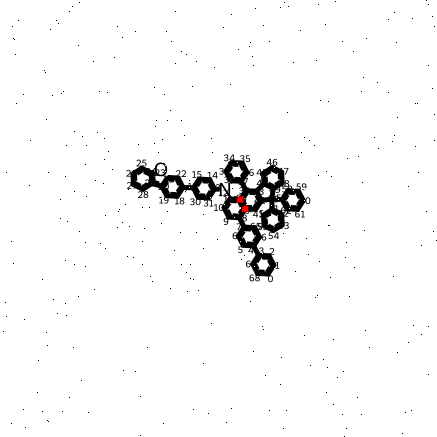 c1ccc(-c2ccc(-c3ccc(N(c4ccc(-c5ccc6c(c5)oc5ccccc56)cc4)c4ccccc4-c4cccc5c4-c4ccccc4C5(c4ccccc4)c4ccccc4)cc3)cc2)cc1